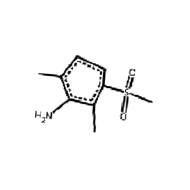 Cc1ccc(S(C)(=O)=O)c(C)c1N